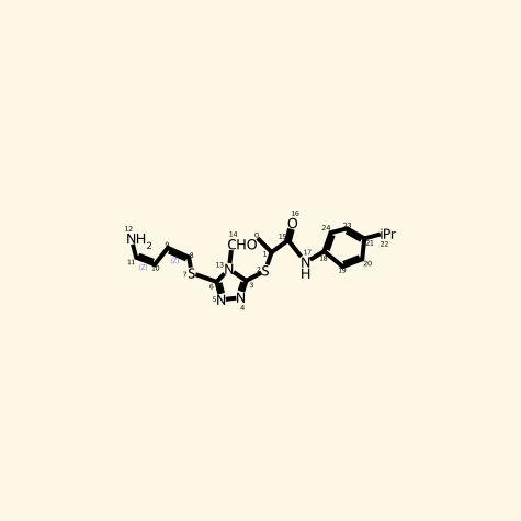 CC(Sc1nnc(S/C=C\C=C/N)n1C=O)C(=O)Nc1ccc(C(C)C)cc1